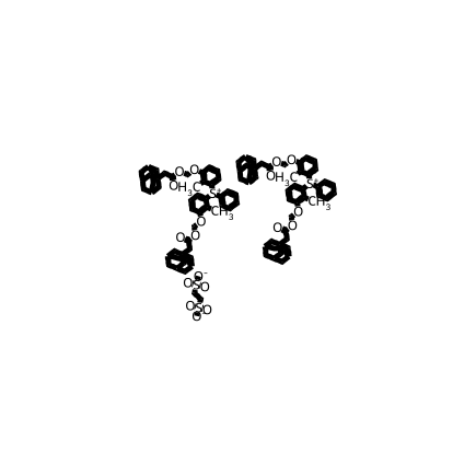 Cc1c(OCOC(=O)CC23CC4CC(CC(C4)C2)C3)cccc1[S+](c1ccccc1)c1cccc(OCOC(=O)CC23CC4CC(CC(C4)C2)C3)c1C.Cc1c(OCOC(=O)CC23CC4CC(CC(C4)C2)C3)cccc1[S+](c1ccccc1)c1cccc(OCOC(=O)CC23CC4CC(CC(C4)C2)C3)c1C.O=S(=O)([O-])CCS(=O)(=O)[O-]